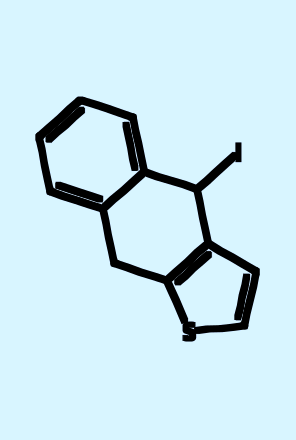 IC1c2ccccc2Cc2sccc21